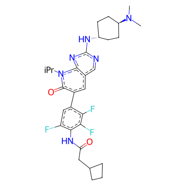 CC(C)n1c(=O)c(-c2cc(F)c(NC(=O)CC3CCC3)c(F)c2F)cc2cnc(N[C@H]3CC[C@H](N(C)C)CC3)nc21